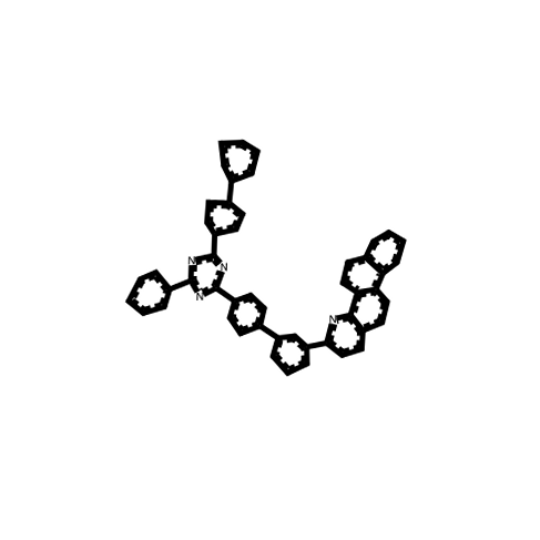 c1ccc(-c2ccc(-c3nc(-c4ccccc4)nc(-c4ccc(-c5cccc(-c6ccc7ccc8c9ccccc9ccc8c7n6)c5)cc4)n3)cc2)cc1